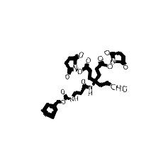 O=CCCC(CCC(=O)ON1C(=O)CCC1=O)(CCC(=O)ON1C(=O)CCC1=O)NC(=O)CCNC(=O)OCc1ccccc1